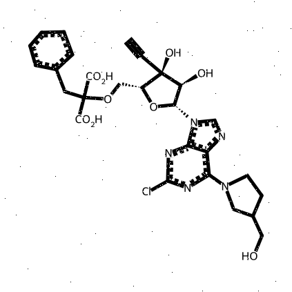 C#C[C@@]1(O)[C@@H](COC(Cc2ccccc2)(C(=O)O)C(=O)O)O[C@@H](n2cnc3c(N4CCC(CO)C4)nc(Cl)nc32)[C@@H]1O